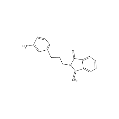 C=C1c2ccccc2C(=O)N1CCCc1cccc(C)c1